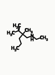 C=C(C)C(C)(CCC)CNCC